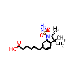 CC1=[N+](S(N)(=O)=O)c2cc(CCCCCC(=O)O)ccc2C1(C)C